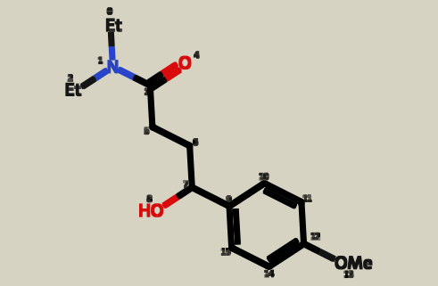 CCN(CC)C(=O)CCC(O)c1ccc(OC)cc1